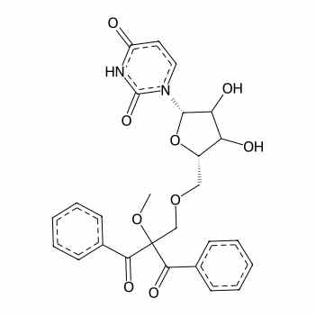 COC(COC[C@@H]1O[C@H](n2ccc(=O)[nH]c2=O)C(O)C1O)(C(=O)c1ccccc1)C(=O)c1ccccc1